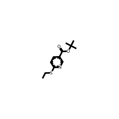 CCSc1ccc(C(=O)OC(C)(C)C)cn1